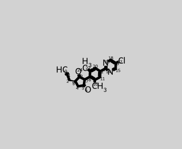 C#CC[C@@H]1CC(=O)C(c2c(C)cc(-c3ncc(Cl)cn3)cc2C)C1=O